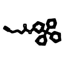 C#CCCCC(=O)Oc1cccc(C(c2ccccc2)(c2ccccc2)c2ccccc2)c1